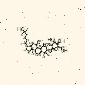 C[C@H](CCCC(C)(C)O)C1CC[C@@]2(C)C3CC=C4C(CC[C@H](O[C@@H]5O[C@H](CO)[C@@H](O)[C@H](O)[C@H]5O)C4(C)C)[C@]3(C)C(=O)C[C@]12C